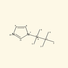 CC(C)(C)[Si](C)(C)n1ccnc1